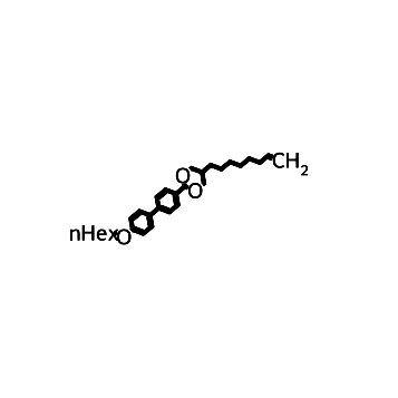 C=CCCCCCCC1COC(c2ccc(-c3ccc(OCCCCCC)cc3)cc2)OC1